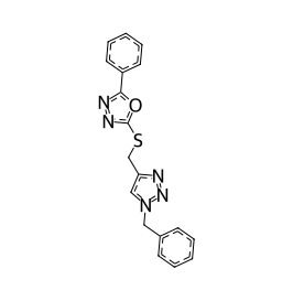 c1ccc(Cn2cc(CSc3nnc(-c4ccccc4)o3)nn2)cc1